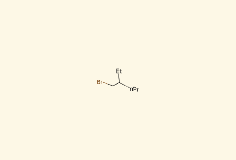 CCCC(CC)CBr